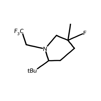 CC1(F)CCC(C(C)(C)C)N(CC(F)(F)F)C1